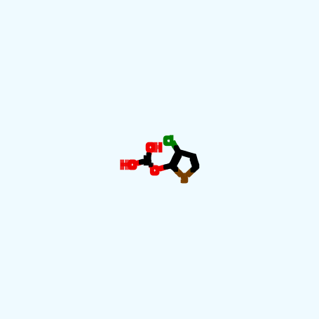 OB(O)Oc1sccc1Cl